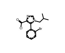 CC(C)Cn1cnc(C(=O)Cl)c1-c1ccccc1Br